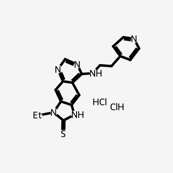 CCn1c(=S)[nH]c2cc3c(NCCc4ccncc4)ncnc3cc21.Cl.Cl